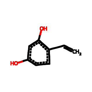 C=Cc1ccc(O)cc1O